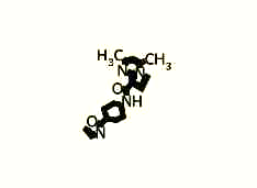 Cc1cc(C)n2ccc(C(=O)NC3CCC(c4ncco4)CC3)c2n1